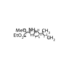 C=C/C=C(\C)c1ccc(C[C@@H](N)[C@@H](OC)C(=O)OCC)cc1